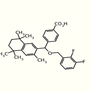 Cc1cc2c(cc1C(OCc1cccc(F)c1F)c1ccc(C(=O)O)cc1)C(C)(C)CCC2(C)C